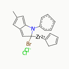 CC1=CC2=C[C](Br)([Zr+2][C]3=CC=CC3)N(c3ccccc3)C2=C1.[Cl-].[Cl-]